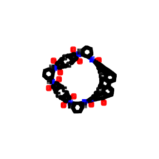 O=C1c2ccc3c4ccc5c6c7ccc(c8ccc(c2c38)C(=O)N1C1CCCC[C@H]1n1c(=O)c2cc3c(=O)n(c(=O)c3cc2c1=O)[C@@H]1CCCC[C@H]1n1c(=O)c2cc3c(=O)n(c(=O)c3cc2c1=O)[C@@H]1CCCC[C@H]1N(C5=O)C7=O)c64